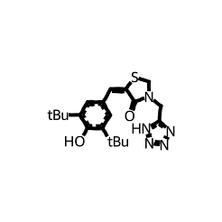 CC(C)(C)c1cc(C=C2SCN(Cc3nnn[nH]3)C2=O)cc(C(C)(C)C)c1O